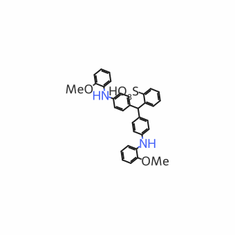 COc1ccccc1Nc1ccc(C(c2ccc(Nc3ccccc3OC)cc2)c2ccccc2S(=O)(=O)O)cc1